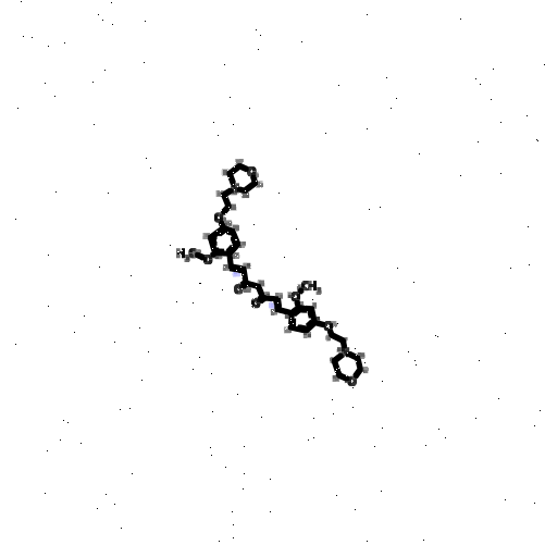 COc1cc(OCCN2CCOCC2)ccc1/C=C/C(=O)CC(=O)/C=C/c1ccc(OCCN2CCOCC2)cc1OC